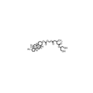 CC(=O)[C@H]1CC[C@H]2[C@@H]3CC[C@H]4C[C@H](OC(=O)OCOC(=O)CC(C)CC(=O)OC(CO)CO)CC[C@]4(C)[C@H]3CC[C@]12C